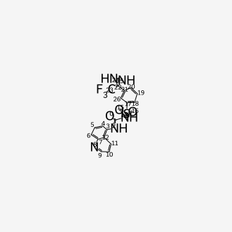 O=C(Nc1cccc2ncccc12)NS(=O)(=O)c1cccc(C2(C(F)(F)F)NN2)c1